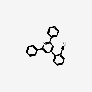 N#Cc1ccccc1-c1cc(-c2ccccc2)nc(-c2ccccc2)c1